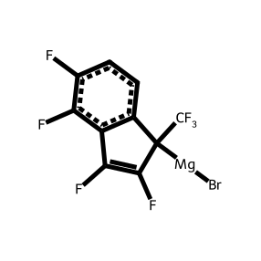 FC1=C(F)[C]([Mg][Br])(C(F)(F)F)c2ccc(F)c(F)c21